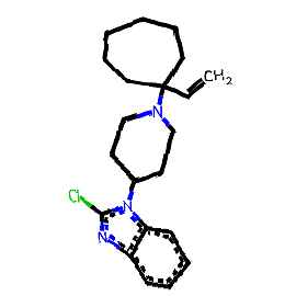 C=CC1(N2CCC(n3c(Cl)nc4ccccc43)CC2)CCCCCC1